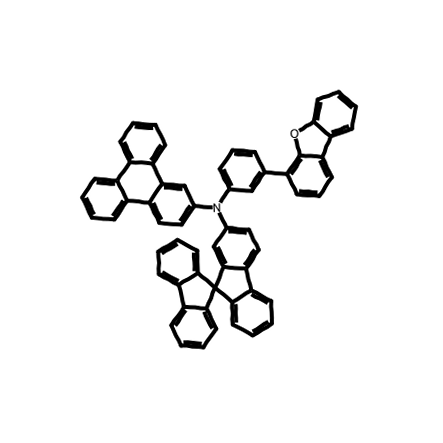 c1cc(-c2cccc3c2oc2ccccc23)cc(N(c2ccc3c(c2)C2(c4ccccc4-c4ccccc42)c2ccccc2-3)c2ccc3c4ccccc4c4ccccc4c3c2)c1